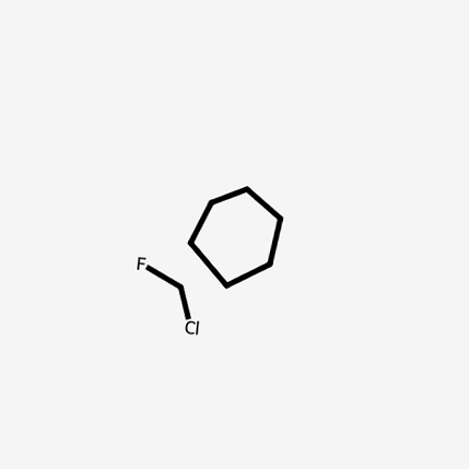 C1CCCCC1.FCCl